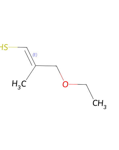 CCOC/C(C)=C/S